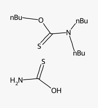 CCCCOC(=S)N(CCCC)CCCC.NC(O)=S